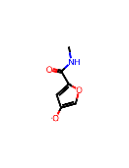 CNC(=O)c1cc([O])co1